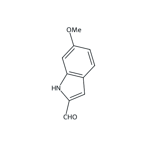 COc1ccc2cc(C=O)[nH]c2c1